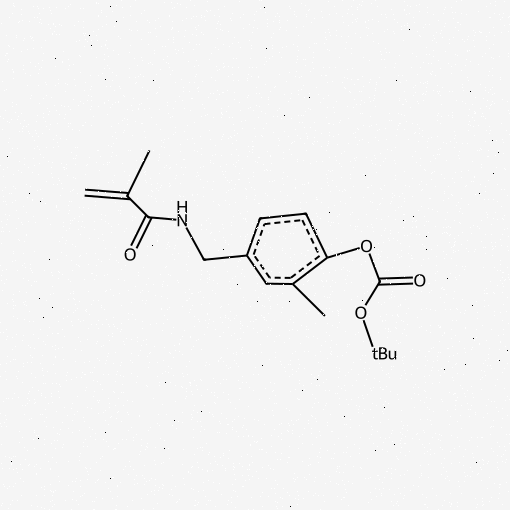 C=C(C)C(=O)NCc1ccc(OC(=O)OC(C)(C)C)c(C)c1